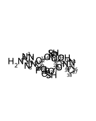 Nc1ncnc2c1ncn2C1OC2COP(=O)(S)OC3C(COP(=O)(S)OC2C1F)OC(n1cnc2ccccc21)C3O